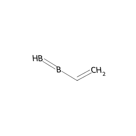 B=BC=C